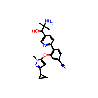 Cn1nc(C2CC2)cc1Oc1cc(C#N)ccc1-c1ccc(C(O)C(C)(C)N)cn1